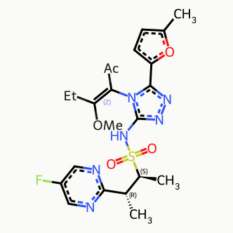 CC/C(OC)=C(\C(C)=O)n1c(NS(=O)(=O)[C@@H](C)[C@H](C)c2ncc(F)cn2)nnc1-c1ccc(C)o1